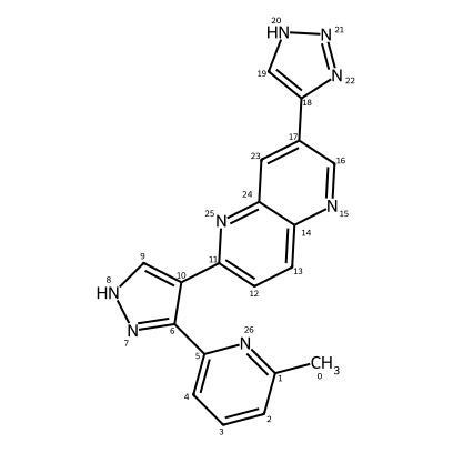 Cc1cccc(-c2n[nH]cc2-c2ccc3ncc(-c4c[nH]nn4)cc3n2)n1